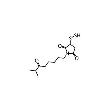 CC(C)C(=O)CCCCCN1C(=O)CC(SS)C1=O